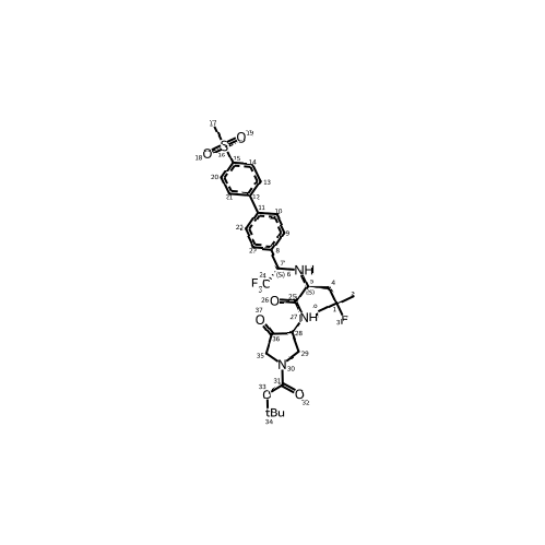 CC(C)(F)C[C@H](N[C@@H](c1ccc(-c2ccc(S(C)(=O)=O)cc2)cc1)C(F)(F)F)C(=O)NC1CN(C(=O)OC(C)(C)C)CC1=O